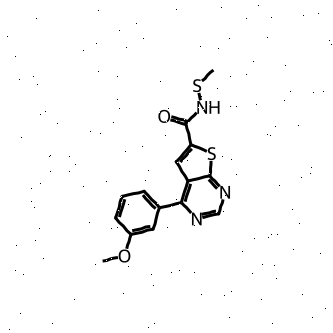 COc1cccc(-c2ncnc3sc(C(=O)NSC)cc23)c1